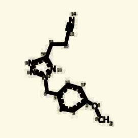 COc1ccc(Cn2nnc(CCC#N)n2)cc1